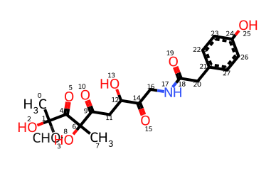 CC(O)([C]=O)C(=O)C(C)(O)C(=O)CC(O)C(=O)CNC(=O)Cc1ccc(O)cc1